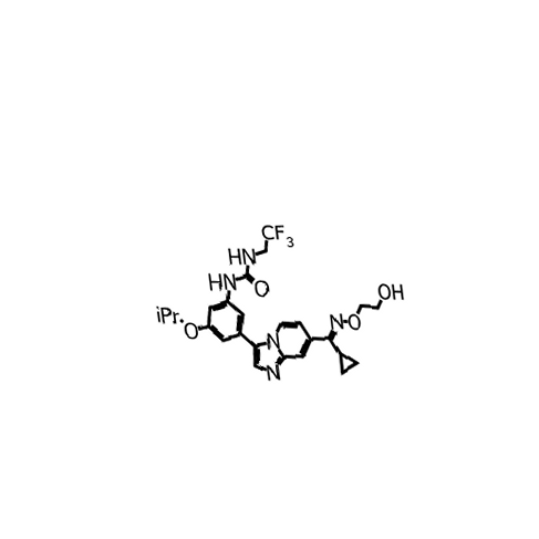 CC(C)Oc1cc(NC(=O)NCC(F)(F)F)cc(-c2cnc3cc(/C(=N/OCCO)C4CC4)ccn23)c1